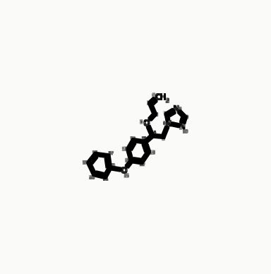 C=CCOC(Cn1cncn1)c1ccc(Oc2ccccc2)cc1